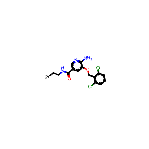 CC(C)CCNC(=O)c1cnc(N)c(OCc2c(Cl)cccc2Cl)c1